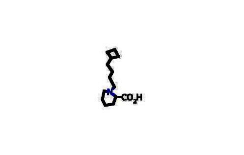 O=C(O)[C@H]1CCCCN1CCCCC1CCC1